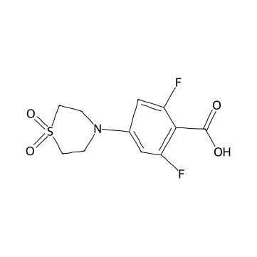 O=C(O)c1c(F)cc(N2CCS(=O)(=O)CC2)cc1F